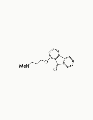 CNCCCOc1cccc2c1C(=O)c1ccccc1-2